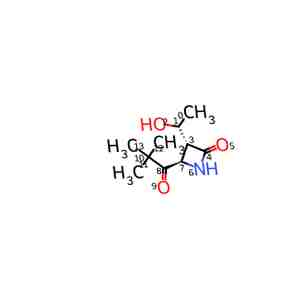 CC(O)[C@@H]1C(=O)N[C@H]1C(=O)C(C)(C)C